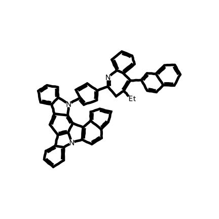 CCC1=C(c2ccc3ccccc3c2)c2ccccc2N=C(c2ccc(-n3c4ccccc4c4cc5c6ccccc6n6c7ccc8ccccc8c7c(c43)c56)cc2)C1